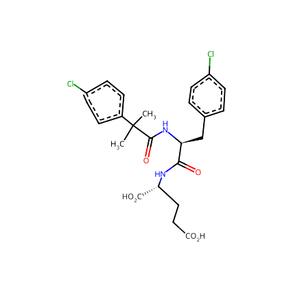 CC(C)(C(=O)N[C@@H](Cc1ccc(Cl)cc1)C(=O)N[C@H](CCC(=O)O)C(=O)O)c1ccc(Cl)cc1